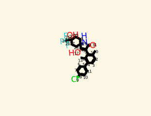 Cc1ccc(-c2ccc(Cl)cc2)c(C)c1C1=C(O)C2(CCC(O)(C(F)(F)F)CC2)NC1=O